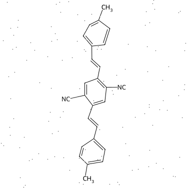 [C-]#[N+]c1cc(/C=C/c2ccc(C)cc2)c(C#N)cc1/C=C/c1ccc(C)cc1